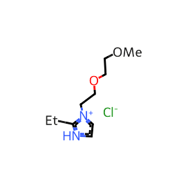 CCc1[nH]cc[n+]1CCOCCOC.[Cl-]